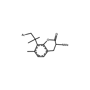 CNC1Cc2ccc(C)c(C(C)(C)CC(C)=O)c2OC1=O